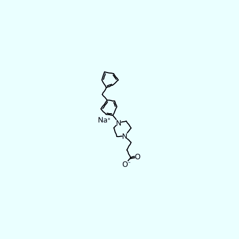 O=C([O-])CCN1CCN(c2ccc(Cc3ccccc3)cc2)CC1.[Na+]